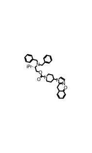 CC(C)[C@@H](COC(=O)N1CCC(n2ccnc2CC2C=CC=CC2=O)CC1)N(Cc1ccccc1)Cc1ccccc1